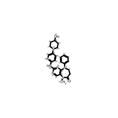 CN1C(=O)CCN(c2ccccc2)c2nc(Nc3ccc(N4CCC(O)CC4)cn3)ncc21